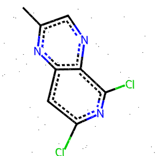 Cc1cnc2c(Cl)nc(Cl)cc2n1